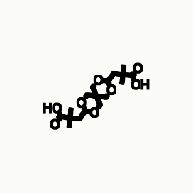 CC(C)(CC1OCC2(CO1)COC(CC(C)(C)C(=O)O)OC2)C(=O)O